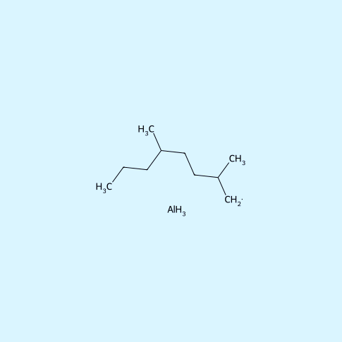 [AlH3].[CH2]C(C)CCC(C)CCC